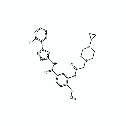 O=C(CN1CCN(C2CC2)CC1)Nc1cc(C(=O)Nc2nnc(-c3ccccc3F)s2)ccc1OC(F)(F)F